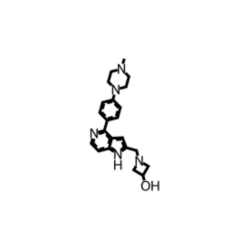 CN1CCN(c2ccc(-c3nccc4[nH]c(CN5CC(O)C5)cc34)cc2)CC1